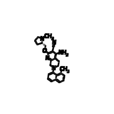 Cc1cccc2cccc(N3CCc4c(nc(OC[C@@H]5CCCN5C)c(C#N)c4N)C3)c12